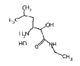 CCNC(=O)C(O)C(N)CC(C)C.Cl